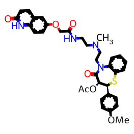 COc1ccc([C@@H]2Sc3ccccc3N(CCN(C)CCNC(=O)COc3ccc4[nH]c(=O)ccc4c3)C(=O)[C@@H]2OC(C)=O)cc1